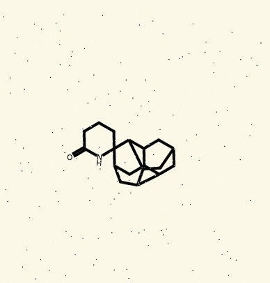 O=C1CCCC2(N1)C1CC3C4CC5CC3C2C(C5)C4C1